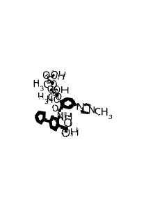 CN1CCN(c2ccc(O)c(C(=O)Nc3cc(-c4ccccc4)ccc3C(=O)O)c2)CC1.CS(=O)(=O)O.CS(=O)(=O)O